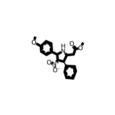 COC(=O)CC1NC(c2ccc(OC)cc2)C([N+](=O)[O-])[C@@H]1c1ccccc1